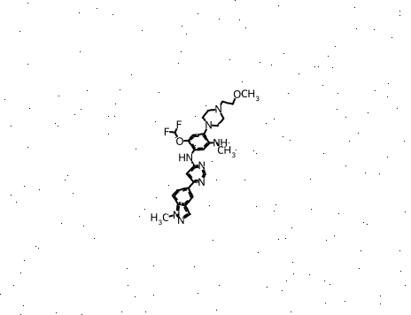 CNc1cc(Nc2cc(-c3ccc4c(cnn4C)c3)ncn2)c(OC(F)F)cc1N1CCN(CCOC)CC1